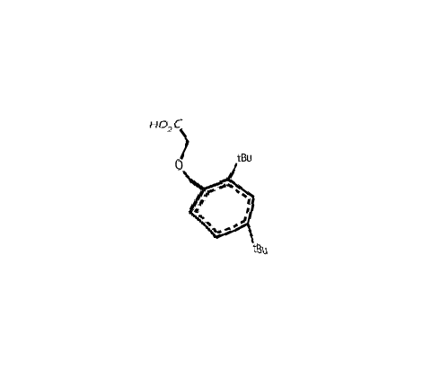 CC(C)(C)c1ccc(OCC(=O)O)c(C(C)(C)C)c1